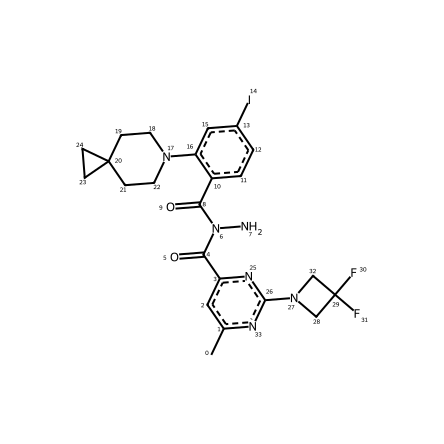 Cc1cc(C(=O)N(N)C(=O)c2ccc(I)cc2N2CCC3(CC2)CC3)nc(N2CC(F)(F)C2)n1